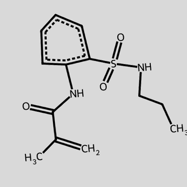 C=C(C)C(=O)Nc1ccccc1S(=O)(=O)NCCC